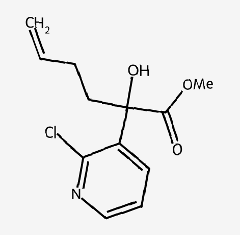 C=CCCC(O)(C(=O)OC)c1cccnc1Cl